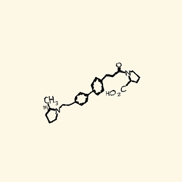 C[C@@H]1CCCN1CCc1ccc(-c2ccc(CCC(=O)N3CCCC3C(=O)O)cc2)cc1